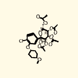 CO[C@H]1CC[C@H](Oc2cc([C@]3(O)O[C@H](COC(C)=O)[C@@H](OC(C)=O)[C@H](OC(C)=O)[C@H]3OC(C)=O)ccc2Cl)CC1